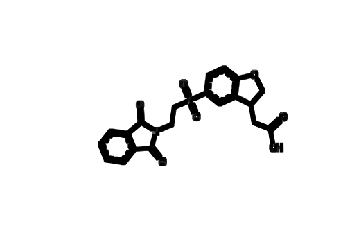 O=C(O)CC1COc2ccc(S(=O)(=O)CCN3C(=O)c4ccccc4C3=O)cc21